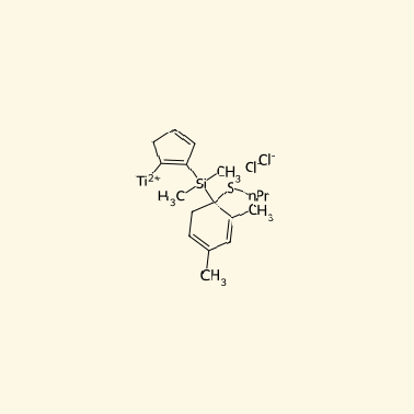 CCCSC1([Si](C)(C)C2=[C]([Ti+2])CC=C2)CC=C(C)C=C1C.[Cl-].[Cl-]